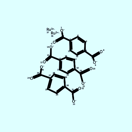 O=C([O-])c1ccc(C(=O)[O-])cc1.O=C([O-])c1ccc(C(=O)[O-])cc1.O=C([O-])c1ccc(C(=O)[O-])cc1.[Ru+3].[Ru+3]